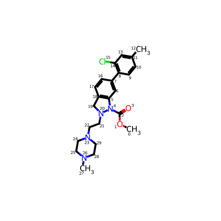 COC(=O)N1c2cc(-c3ccc(C)cc3Cl)ccc2CN1CCN1CCN(C)CC1